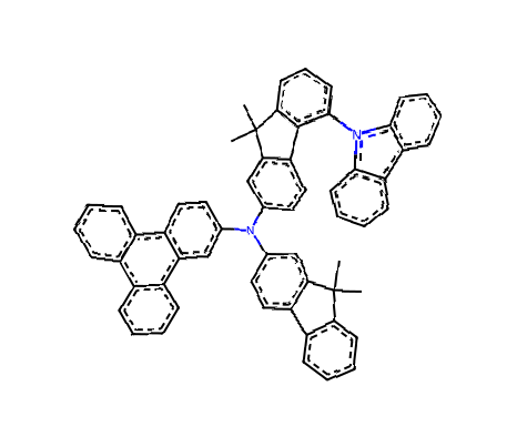 CC1(C)c2ccccc2-c2ccc(N(c3ccc4c(c3)C(C)(C)c3cccc(-n5c6ccccc6c6ccccc65)c3-4)c3ccc4c5ccccc5c5ccccc5c4c3)cc21